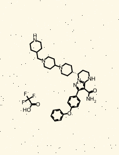 NC(=O)c1c(-c2ccc(Oc3ccccc3)cc2)nn2c1NCC[C@H]2C1CCN(C2CCN(CC3CCNCC3)CC2)CC1.O=C(O)C(F)(F)F